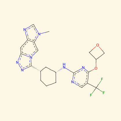 Cn1cnc2cc3nnc([C@H]4CCC[C@@H](Nc5ncc(C(F)(F)F)c(OC6COC6)n5)C4)n3cc21